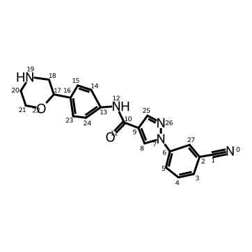 N#Cc1cccc(-n2cc(C(=O)Nc3ccc(C4CNCCO4)cc3)cn2)c1